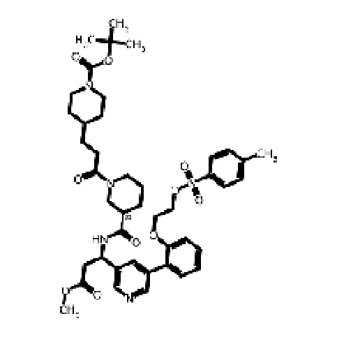 COC(=O)CC(NC(=O)[C@@H]1CCCN(C(=O)CCC2CCN(C(=O)OC(C)(C)C)CC2)C1)c1cncc(-c2ccccc2OCCOS(=O)(=O)c2ccc(C)cc2)c1